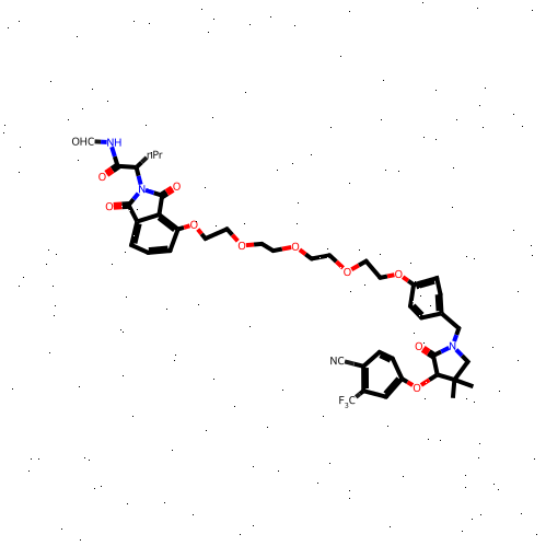 CCCC(C(=O)NC=O)N1C(=O)c2cccc(OCCOCCOCCOCCOc3ccc(CN4CC(C)(C)C(Oc5ccc(C#N)c(C(F)(F)F)c5)C4=O)cc3)c2C1=O